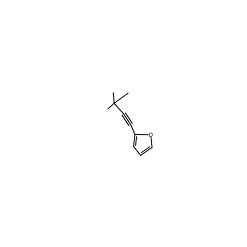 CC(C)(C)C#Cc1ccco1